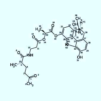 CC(=O)CC[C@H](C)C(=O)NCCC(=O)O[C@@H](C)C(=O)OC1=CC[C@@]2(O)[C@H]3Cc4ccc(O)c5c4[C@@]2(CCN3C)[C@H]1O5